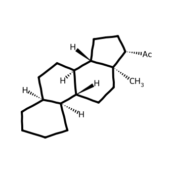 CC(=O)[C@H]1CC[C@H]2[C@@H]3CC[C@@H]4CCCC[C@@H]4[C@H]3CC[C@]12C